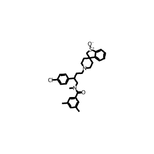 Cc1cc(C)cc(C(=O)N(C)CC(CCN2CCC3(CC2)C[S+]([O-])c2ccccc23)c2ccc(Cl)cc2)c1